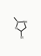 CCC1CNB(C)O1